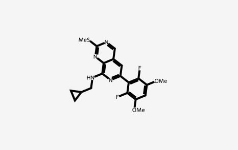 COc1cc(OC)c(F)c(-c2cc3cnc(SC)nc3c(NCC3CC3)n2)c1F